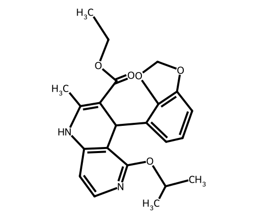 CCOC(=O)C1=C(C)Nc2ccnc(OC(C)C)c2C1c1cccc2c1OCO2